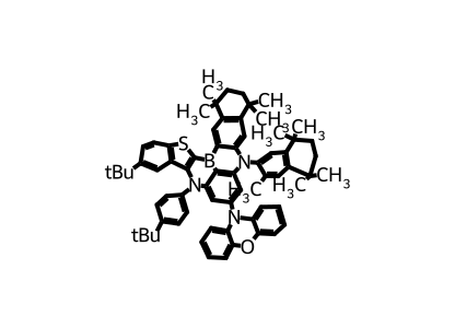 Cc1cc2c(cc1N1c3cc4c(cc3B3c5sc6ccc(C(C)(C)C)cc6c5N(c5ccc(C(C)(C)C)cc5)c5cc(N6c7ccccc7Oc7ccccc76)cc1c53)C(C)(C)CCC4(C)C)C(C)(C)CCC2(C)C